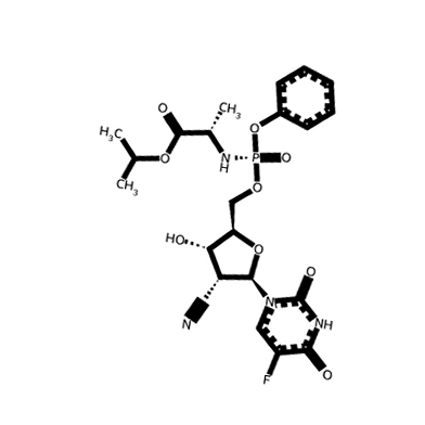 CC(C)OC(=O)[C@H](C)N[P@](=O)(OC[C@H]1O[C@@H](n2cc(F)c(=O)[nH]c2=O)[C@H](C#N)[C@@H]1O)Oc1ccccc1